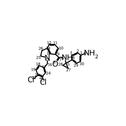 Nc1ccc(C2(NC(=O)c3cccc4c3N(Cc3ccc(Cl)c(Cl)c3)CC4)CC2)cc1